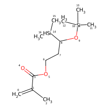 C=C(C)C(=O)OCCC(O[Si](C)(C)C)[SiH](C)C